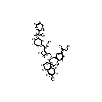 COC(=O)c1ccc2c(c1)N(C[C@@H]1CC[C@H]1[C@@H](OC)[C@H]1CCC[C@H](S(=O)(=O)c3ncccn3)C1)CC1(CCCc3cc(Cl)ccc31)CO2